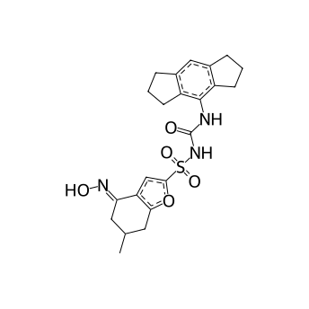 CC1CC(=NO)c2cc(S(=O)(=O)NC(=O)Nc3c4c(cc5c3CCC5)CCC4)oc2C1